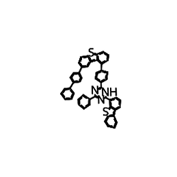 c1ccc(C2=NC(c3cccc4c3sc3ccccc34)NC(c3ccc(-c4cccc5sc6ccc(-c7ccc(-c8ccccc8)cc7)cc6c45)cc3)=N2)cc1